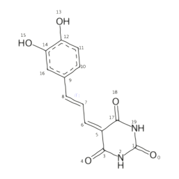 O=C1NC(=O)C(=C/C=C/c2ccc(O)c(O)c2)C(=O)N1